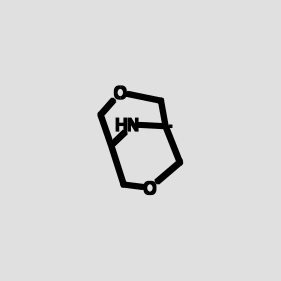 C1OCC2COC[C]1N2